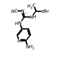 CC(N/C(=N/C#N)Nc1ccc(N)nc1)C(C)(C)C